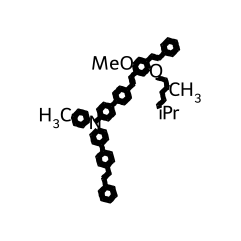 COc1cc(/C=C/c2ccccc2)c(OCCC(C)CCCC(C)C)cc1/C=C/c1ccc(-c2ccc(N(c3ccc(C)cc3)c3ccc(-c4ccc(/C=C/c5ccccc5)cc4)cc3)cc2)cc1